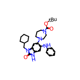 CC(C)(C)OC(=O)N1CCCN(c2cc3c(cc2Nc2ccccc2)[nH]c(=O)n3CC2CCCCC2)CC1